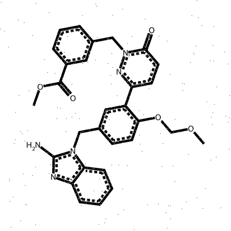 COCOc1ccc(Cn2c(N)nc3ccccc32)cc1-c1ccc(=O)n(Cc2cccc(C(=O)OC)c2)n1